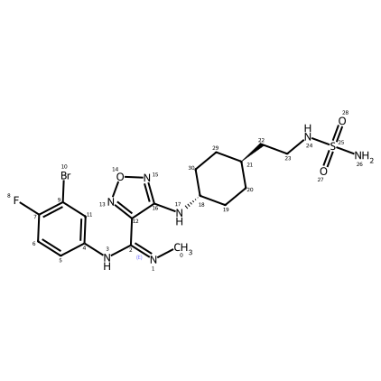 C/N=C(/Nc1ccc(F)c(Br)c1)c1nonc1N[C@H]1CC[C@H](CCNS(N)(=O)=O)CC1